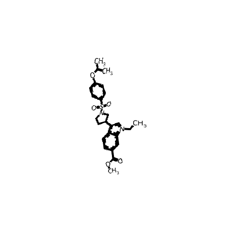 CCn1cc(C2CCN(S(=O)(=O)c3ccc(OC(C)C)cc3)C2)c2ccc(C(=O)OC)cc21